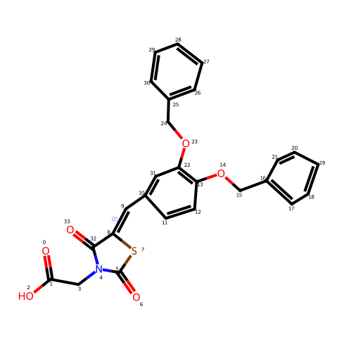 O=C(O)CN1C(=O)S/C(=C\c2ccc(OCc3ccccc3)c(OCc3ccccc3)c2)C1=O